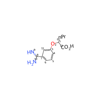 CCCC(Oc1cccc(C(=N)N)c1)C(=O)O